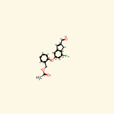 CC(=O)OCc1ccccc1Oc1cc(F)c2c(c1)C=C(C=O)C2